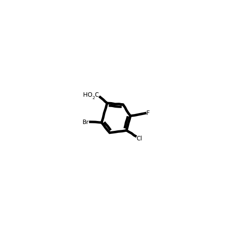 O=C(O)c1cc(F)c(Cl)cc1Br